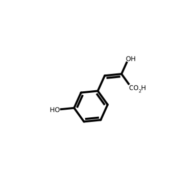 O=C(O)/C(O)=C\c1cccc(O)c1